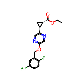 CCOC(=O)[C@H]1C[C@@H]1c1cnc(OCc2cc(Br)ccc2F)cn1